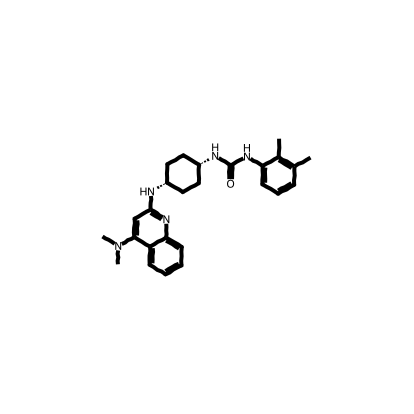 Cc1cccc(NC(=O)N[C@H]2CC[C@@H](Nc3cc(N(C)C)c4ccccc4n3)CC2)c1C